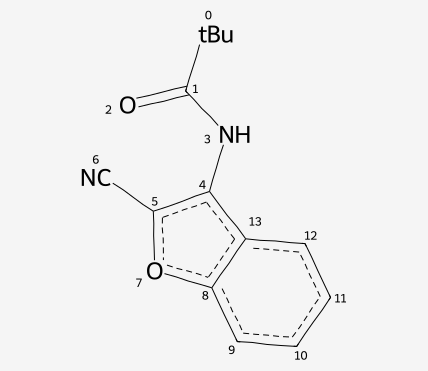 CC(C)(C)C(=O)Nc1c(C#N)oc2ccccc12